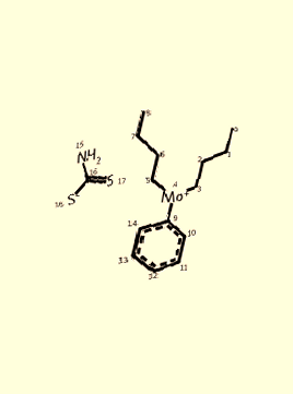 CCC[CH2][Mo+]([CH2]CCC)[c]1ccccc1.NC(=S)[S-]